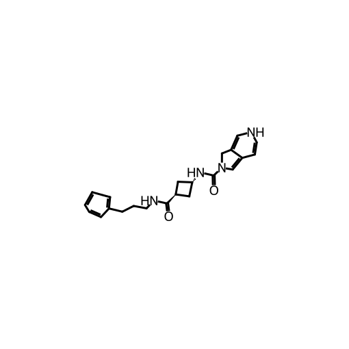 O=C(N[C@H]1C[C@H](C(=O)NCCCc2ccccc2)C1)N1C=C2C=CNC=C2C1